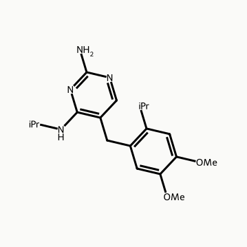 COc1cc(Cc2cnc(N)nc2NC(C)C)c(C(C)C)cc1OC